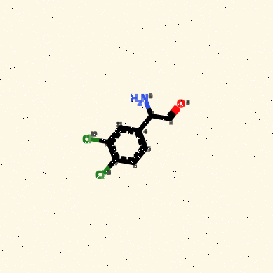 NC(C=O)c1ccc(Cl)c(Cl)c1